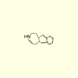 C1=c2ccccc2=CC2CCN/C=C\CC12